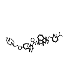 Cc1nn(Cc2cccc(C(C)C)n2)c2cccc(NC(=O)c3cnc4cc(OCCN5CCN(C)CC5)ccn34)c12